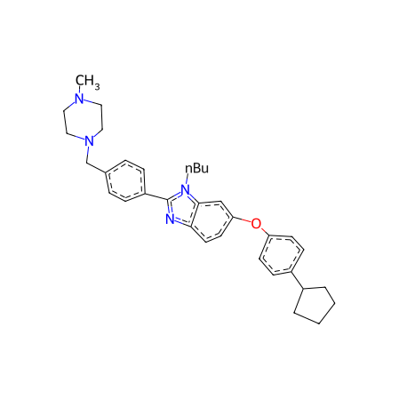 CCCCn1c(-c2ccc(CN3CCN(C)CC3)cc2)nc2ccc(Oc3ccc(C4CCCC4)cc3)cc21